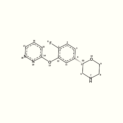 Fc1ccc([C@H]2CNCCO2)cc1Oc1cccnn1